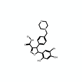 CCNC(=O)C1=NOC(c2cc(C(C)C)c(O)cc2O)C1c1ccc(CN2CCOCC2)cc1